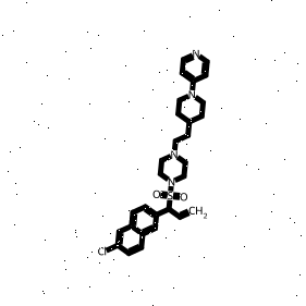 C=CC(c1ccc2cc(Cl)ccc2c1)S(=O)(=O)N1CCN(CCC2CCN(c3ccncc3)CC2)CC1